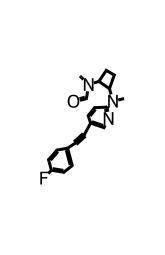 CN(C=O)C1CCC1N(C)c1ccc(C#Cc2ccc(F)cc2)cn1